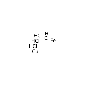 Cl.Cl.Cl.Cl.[Cu].[Fe]